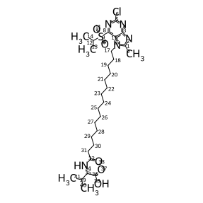 Cc1nc2nc(Cl)nc(S(=O)(=O)C(C)C)c2n1CCCCCCCCCCCCCCCC(=O)N[C@H](C(=O)O)C(C)C